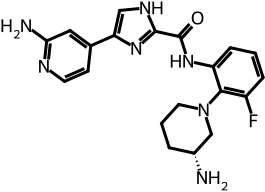 Nc1cc(-c2c[nH]c(C(=O)Nc3cccc(F)c3N3CCC[C@@H](N)C3)n2)ccn1